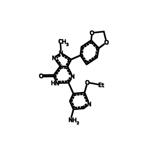 CCOc1ncc(N)cc1-c1nc2c(-c3ccc4c(c3)OCO4)n(C)nc2c(=O)[nH]1